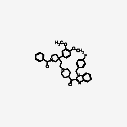 COc1ccc(C2(CCN3CCC(C(=O)c4nc5ccccc5n4Cc4ccc(F)cc4)CC3)CCN(C(=O)c3ccccc3)C2)cc1OC